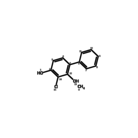 C.Oc1ccc(-c2ccccc2)c(O)c1Cl